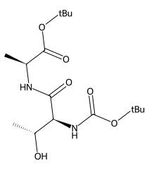 C[C@H](NC(=O)[C@@H](NC(=O)OC(C)(C)C)[C@@H](C)O)C(=O)OC(C)(C)C